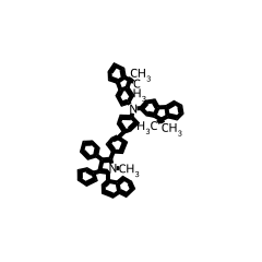 Cn1c(-c2ccc(-c3ccc(N(c4ccc5c(c4)C(C)(C)c4ccccc4-5)c4ccc5c(c4)C(C)(C)c4ccccc4-5)cc3)cc2)c(-c2ccccc2)c(-c2ccccc2)c1-c1cccc2ccccc12